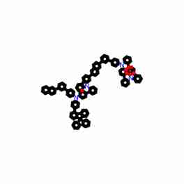 c1ccc(-c2ccccc2N(c2ccc(-c3cccc(-c4ccc5cc(-c6ccc7c8ccccc8n(-c8ccccc8-c8ccc(N(c9ccc(-c%10cccc(-c%11ccc%12ccccc%12c%11)c%10)cc9)c9ccc(-c%10cccc%11c%10-c%10ccccc%10C%11(c%10ccccc%10)c%10ccccc%10)cc9)cc8)c7c6)ccc5c4)c3)cc2)c2ccc(-c3ccccc3-n3c4ccccc4c4ccccc43)cc2)cc1